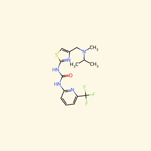 CC(C)N(C)Cc1csc(NC(=O)Nc2cccc(C(F)(F)F)n2)n1